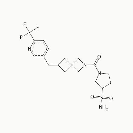 NS(=O)(=O)C1CCN(C(=O)N2CC3(CC(Cc4ccc(C(F)(F)F)nc4)C3)C2)C1